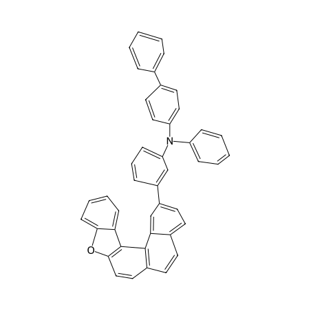 c1ccc(-c2ccc(N(c3ccccc3)c3cccc(-c4ccc5ccc6ccc7oc8ccccc8c7c6c5c4)c3)cc2)cc1